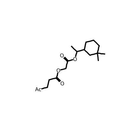 CC(=O)CCC(=O)OCC(=O)OC(C)C1CCCC(C)(C)C1